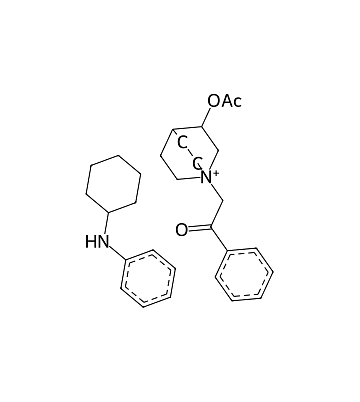 CC(=O)OC1C[N+]2(CC(=O)c3ccccc3)CCC1CC2.c1ccc(NC2CCCCC2)cc1